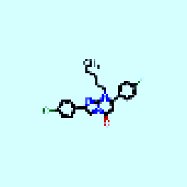 CCCCCn1c(-c2ccc(F)cc2)cc(=O)n2cc(-c3ccc(Cl)cc3)nc12